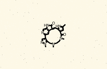 Cc1cc2c([nH]1)/C=C1\C(=O)Nc3cnc(cc31)-c1cnn(C)c1CN(C)CCN(C)C2=O